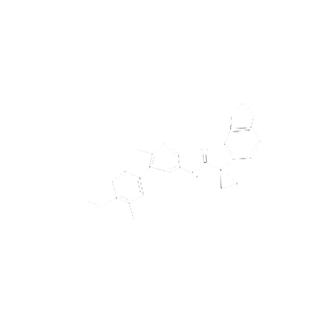 COc1ccc(-c2cc(NC(=O)C3(c4ccc5c(c4)OCO5)CC3)ccc2C)cc1Cl